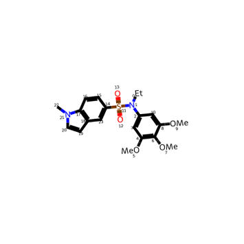 CCN(c1cc(OC)c(OC)c(OC)c1)S(=O)(=O)c1ccc2c(ccn2C)c1